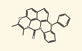 Cc1oc2ccc3ccc4c5c3c2-n(c1C)c(=O)n5-c1ccccc1B4c1ccccc1